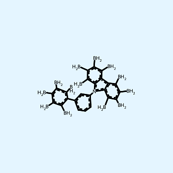 Bc1c(B)c(B)c(-c2cccc(-n3c4c(B)c(B)c(B)c(B)c4c4c(B)c(B)c(B)c(B)c43)c2)c(B)c1B